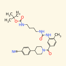 Cc1ccc(C(=O)N2CCC(c3ccc(C#N)cc3)CC2)cc1NC(=O)NCCCCNC(=O)OC(C)(C)C